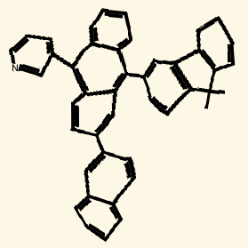 CC1(C)C2=C(CCC=C2)c2cc(-c3c4ccccc4c(-c4cccnc4)c4ccc(-c5ccc6ccccc6c5)cc34)ccc21